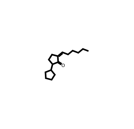 CCCCC/C=C1/CCC(C2CCCC2)C1=O